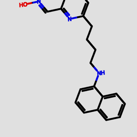 ON=Cc1cccc(CCCCNc2cccc3ccccc23)n1